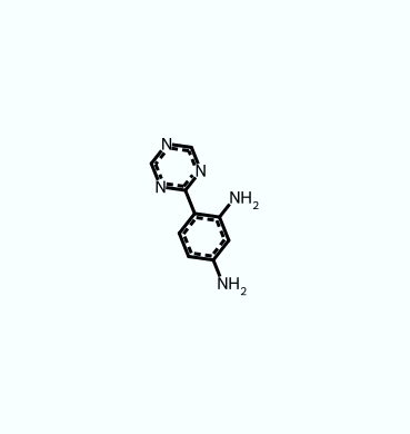 Nc1ccc(-c2ncncn2)c(N)c1